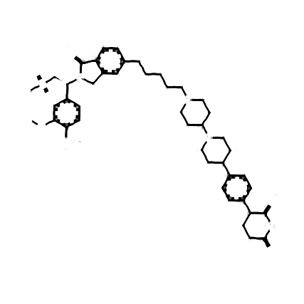 CCOc1cc([C@@H](CS(C)(=O)=O)N2Cc3cc(CCCCCN4CCC(N5CCC(c6ccc(C7CCC(=O)NC7=O)cc6)CC5)CC4)ccc3C2=O)ccc1OC